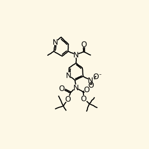 CC(=O)N(c1ccnc(C)c1)c1cnc(N(C(=O)OC(C)(C)C)C(=O)OC(C)(C)C)c([N+](=O)[O-])c1